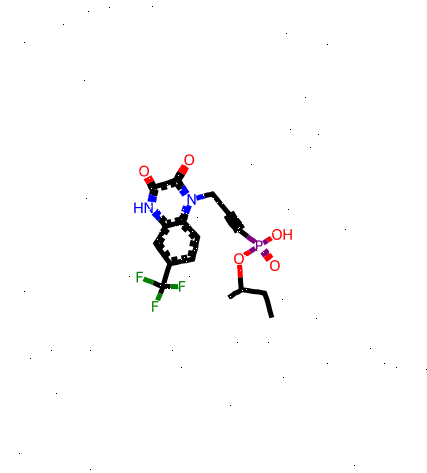 CCC(C)OP(=O)(O)C#CCn1c(=O)c(=O)[nH]c2cc(C(F)(F)F)ccc21